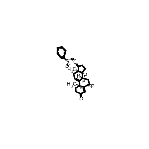 C[C@]12CCC(=O)C=C1[C@@H](F)C[C@@H]1C2=CC[C@]2(C)C(=C=C[S+]([O-])c3ccccc3)CC[C@@H]12